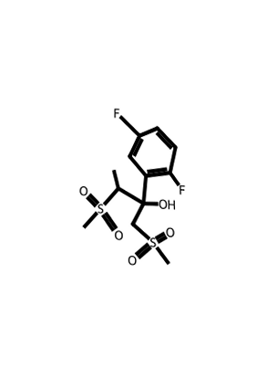 CC(C(O)(CS(C)(=O)=O)c1cc(F)ccc1F)S(C)(=O)=O